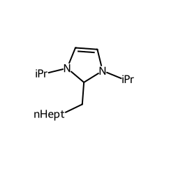 CCCCCCCCC1N(C(C)C)C=CN1C(C)C